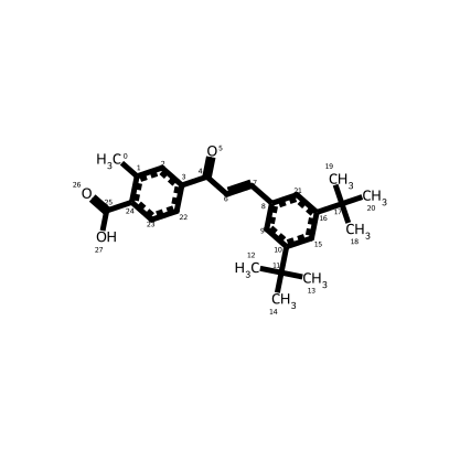 Cc1cc(C(=O)C=Cc2cc(C(C)(C)C)cc(C(C)(C)C)c2)ccc1C(=O)O